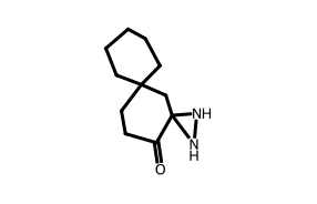 O=C1CCC2(CCCCC2)CC12NN2